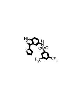 O=S(=O)(Nc1ccc2[nH]nc(-c3cccs3)c2c1)c1cc(C(F)(F)F)cc(C(F)(F)F)c1